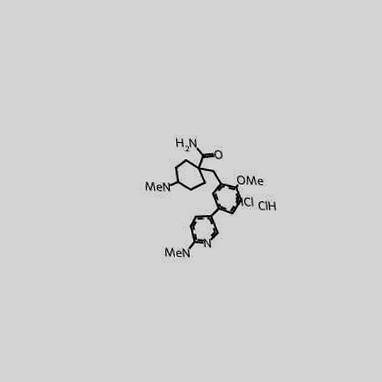 CNc1ccc(-c2ccc(OC)c(CC3(C(N)=O)CCC(NC)CC3)c2)cn1.Cl.Cl